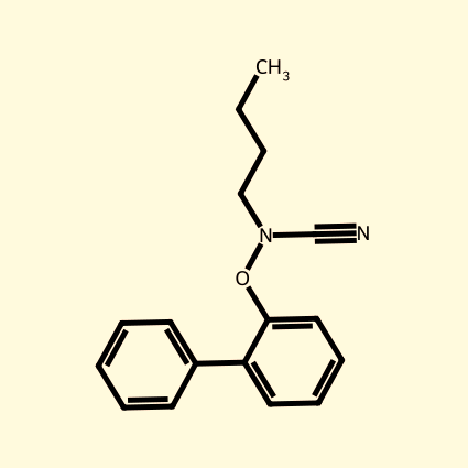 CCCCN(C#N)Oc1ccccc1-c1ccccc1